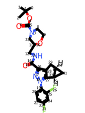 CC(C)(C)OC(=O)N1CCOC(CNC(=O)c2nn(-c3ccc(F)cc3F)c3c2C[C@H]2C[C@@H]32)C1